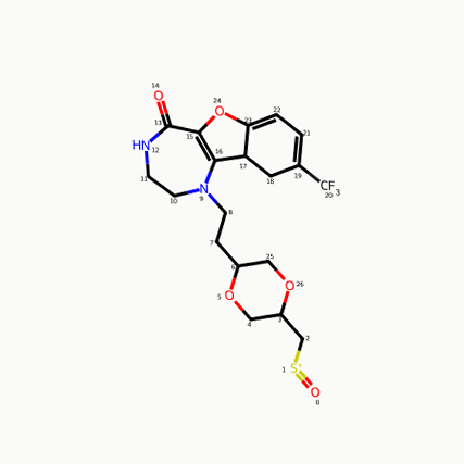 O=[S+]CC1COC(CCN2CCNC(=O)C3=C2C2CC(C(F)(F)F)=CC=C2O3)CO1